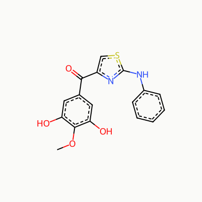 COc1c(O)cc(C(=O)c2csc(Nc3ccccc3)n2)cc1O